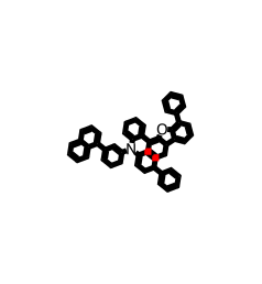 C1=CC(C2=CCCC=C2N(C2=CCC(c3ccccc3)C=C2)C2=CC(c3cccc4ccccc34)=CCC2)=C2Oc3c(-c4ccccc4)cccc3C2C1